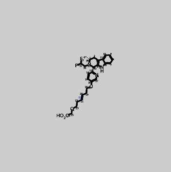 C[C@@H]1Cc2c([nH]c3ccccc23)[C@@H](c2ccc(OCC/C=C/CCOCC(=O)O)cn2)N1CC(F)F